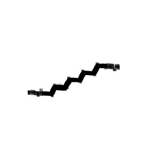 CCCCCCCC/C=C/CCCCCC(=O)O